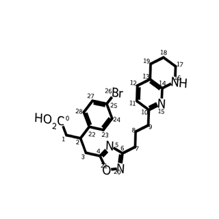 O=C(O)CC(Cc1nc(CCCc2ccc3c(n2)NCCC3)no1)c1ccc(Br)cc1